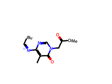 CCC(C)/C=N\c1ncn(CC(=O)OC)c(=O)c1C